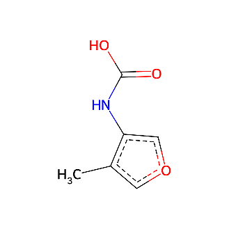 Cc1cocc1NC(=O)O